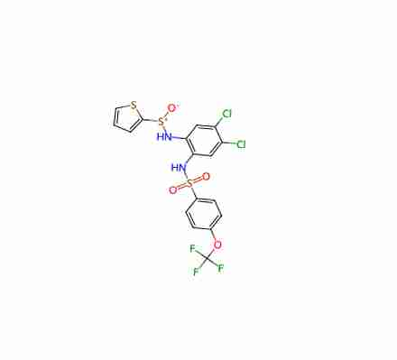 O=S(=O)(Nc1cc(Cl)c(Cl)cc1N[S+]([O-])c1cccs1)c1ccc(OC(F)(F)F)cc1